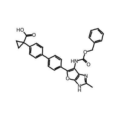 Cc1nc2c(NC(=O)OCc3ccccc3)c(-c3ccc(-c4ccc(C5(C(=O)O)CC5)cc4)cc3)oc2[nH]1